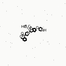 Cl.O=C(Cc1ccc(OC2CCNCC2)cc1OCC(F)(F)F)N1CCC(N2C(=O)OCc3ccccc32)CC1